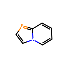 c1ccn2ccpc2c1